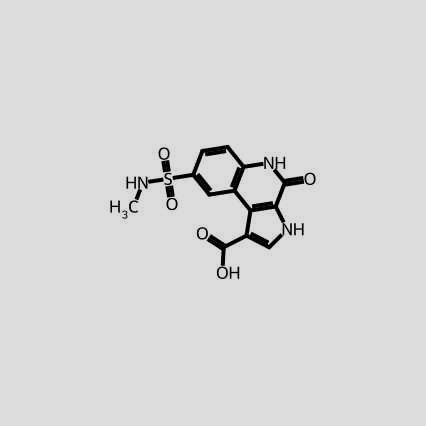 CNS(=O)(=O)c1ccc2[nH]c(=O)c3[nH]cc(C(=O)O)c3c2c1